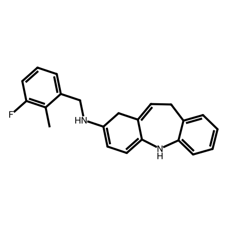 Cc1c(F)cccc1CNC1=CC=C2Nc3ccccc3CC=C2C1